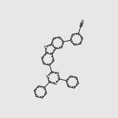 N#Cc1cccc(-c2ccc3oc4ccc(-c5nc(-c6ccccc6)nc(-c6ccccc6)n5)cc4c3c2)c1